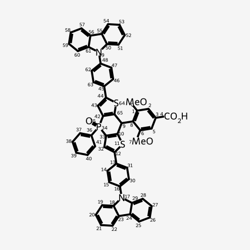 COc1cc(C(=O)O)cc(OC)c1C1c2sc(-c3ccc(-n4c5ccccc5c5ccccc54)cc3)cc2P(=O)(c2ccccc2)c2cc(-c3ccc(-n4c5ccccc5c5ccccc54)cc3)sc21